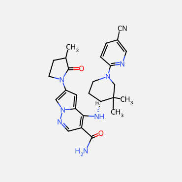 CC1CCN(c2cc3c(N[C@@H]4CCN(c5ccc(C#N)cn5)CC4(C)C)c(C(N)=O)cnn3c2)C1=O